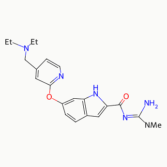 CCN(CC)Cc1ccnc(Oc2ccc3cc(C(=O)N=C(N)NC)[nH]c3c2)c1